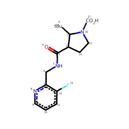 CC(C)(C)C1C(C(=O)NCc2ncccc2F)CCN1C(=O)O